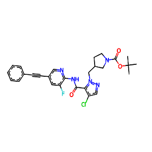 CC(C)(C)OC(=O)N1CCC(Cn2ncc(Cl)c2C(=O)Nc2ncc(C#Cc3ccccc3)cc2F)C1